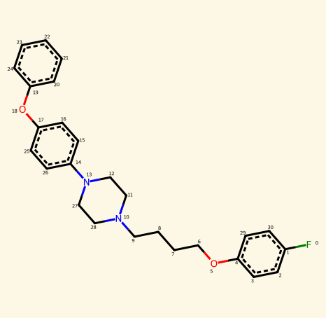 Fc1ccc(OCCCCN2CCN(c3ccc(Oc4ccccc4)cc3)CC2)cc1